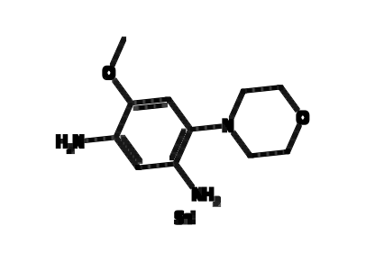 COc1cc(N2CCOCC2)c(N)cc1N.[Sn]